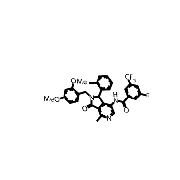 COc1ccc(CN2C(=O)c3c(C)ncc(NC(=O)c4cc(F)cc(C(F)(F)F)c4)c3C2c2ccccc2C)c(OC)c1